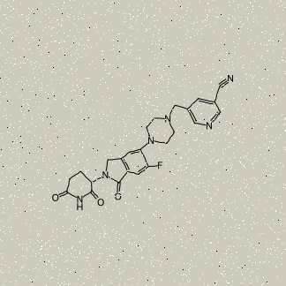 N#Cc1cncc(CN2CCN(c3cc4c(cc3F)C(=O)N(C3CCC(=O)NC3=O)C4)CC2)c1